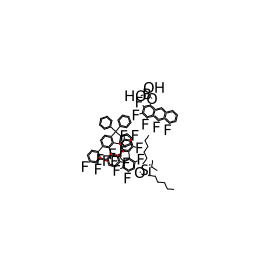 CCCCCC[Si](CCCCCC)(Oc1c(F)c(F)c2c(c1F)-c1c(F)c(F)c(F)c(-c3c(C(c4ccccc4)(c4ccccc4)c4ccccc4)ccc(-c4ccc(F)c(F)c4F)c3-c3c(F)ccc(F)c3F)c1C2(F)F)C(C)C.OB(O)Oc1c(F)c(F)c(F)c2c(F)c3c(F)cccc3cc12